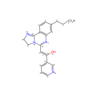 O=C(O)CCc1ccc2c(c1)N=C(/C=C(\O)c1cccnc1)N1CCN=C21